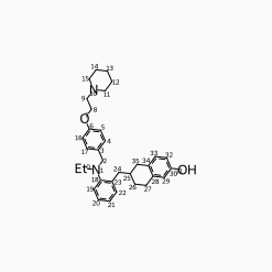 CCN(Cc1ccc(OCCN2CCCCC2)cc1)c1ccccc1CC1CCc2cc(O)ccc2C1